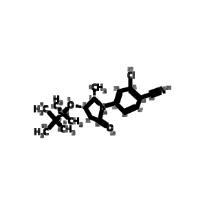 C[C@H]1[C@@H](O[Si](C)(C)C(C)(C)C)CC(=O)N1c1ccc(C#N)c(Cl)c1